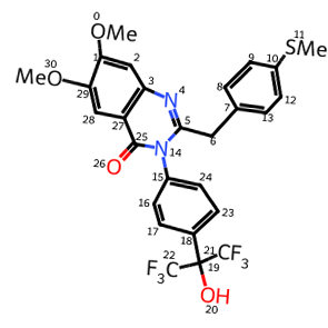 COc1cc2nc(Cc3ccc(SC)cc3)n(-c3ccc(C(O)(C(F)(F)F)C(F)(F)F)cc3)c(=O)c2cc1OC